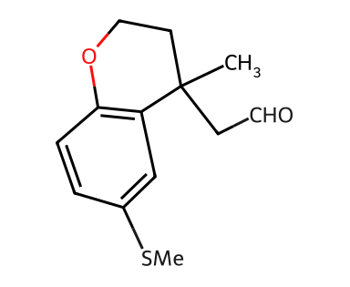 CSc1ccc2c(c1)C(C)(CC=O)CCO2